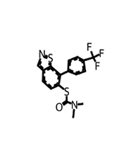 CN(C)C(=O)Sc1ccc2cnsc2c1-c1ccc(C(F)(F)F)cc1